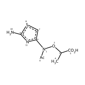 CC(=O)N(OC(C)C(=O)O)c1csc(N)n1